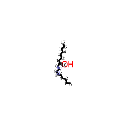 CCCCC/C=C\C=C\[C@@H](O)CCCCCCC